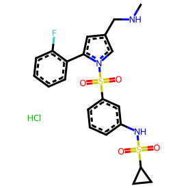 CNCc1cc(-c2ccccc2F)n(S(=O)(=O)c2cccc(NS(=O)(=O)C3CC3)c2)c1.Cl